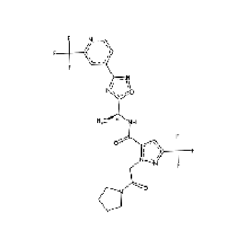 C[C@H](NC(=O)c1cc(C(F)(F)F)nn1CC(=O)N1CCCC1)c1nc(-c2ccnc(C(F)(F)F)c2)no1